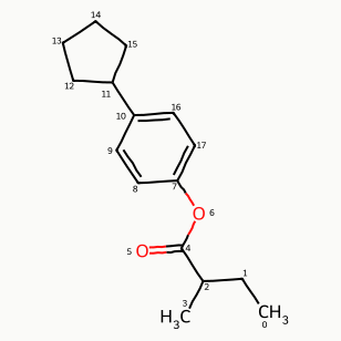 CCC(C)C(=O)Oc1ccc(C2CCCC2)cc1